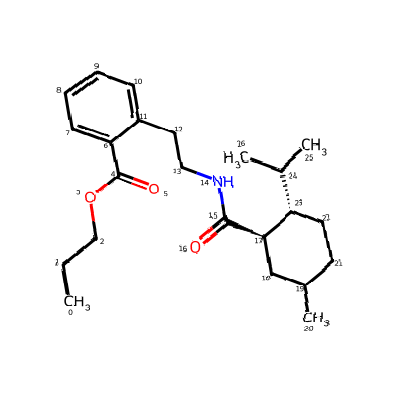 CCCOC(=O)c1ccccc1CCNC(=O)[C@@H]1CC(C)CC[C@H]1C(C)C